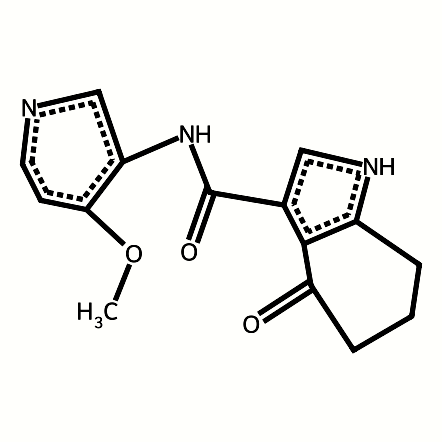 COc1ccncc1NC(=O)c1c[nH]c2c1C(=O)CCC2